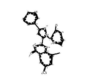 Cc1cc(Cl)cc2c(=O)oc(-c3cc(-c4ccccc4)nn3-c3ncccc3Cl)nc12